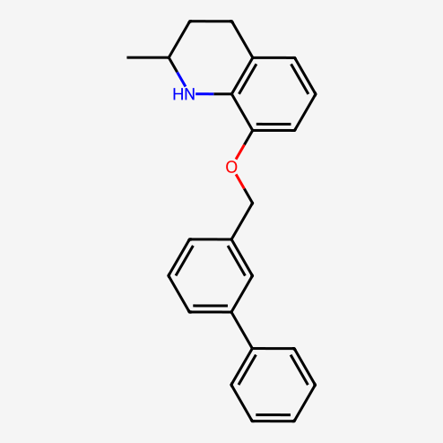 CC1CCc2cccc(OCc3cccc(-c4ccccc4)c3)c2N1